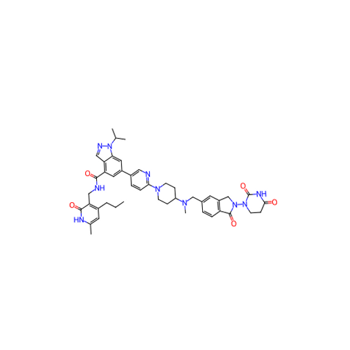 CCCc1cc(C)[nH]c(=O)c1CNC(=O)c1cc(-c2ccc(N3CCC(N(C)Cc4ccc5c(c4)CN(N4CCC(=O)NC4=O)C5=O)CC3)nc2)cc2c1cnn2C(C)C